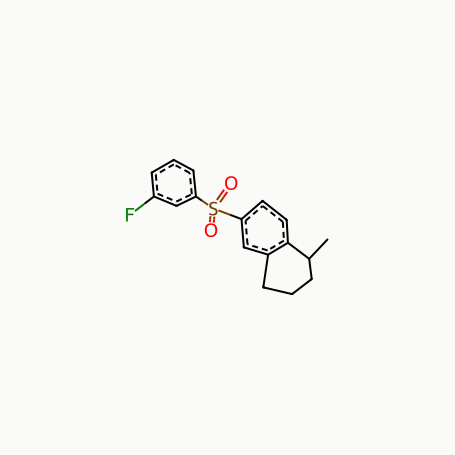 CC1CCCc2cc(S(=O)(=O)c3cccc(F)c3)ccc21